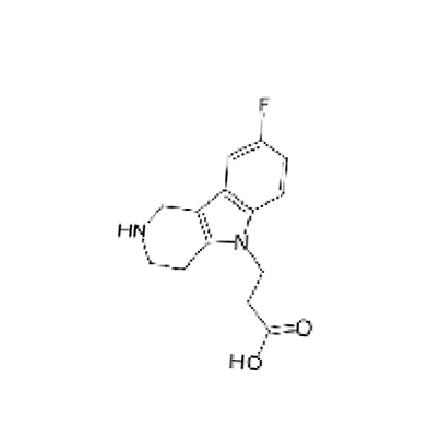 O=C(O)CCn1c2c(c3cc(F)ccc31)CNCC2